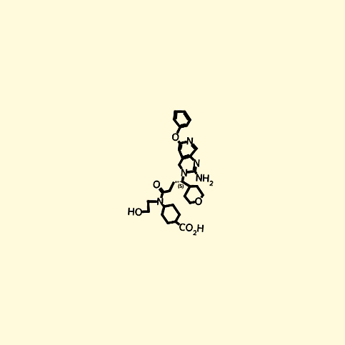 NC1=Nc2cnc(Oc3ccccc3)cc2CN1[C@@H](CCC(=O)N(CCO)C1CCC(C(=O)O)CC1)C1CCOCC1